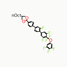 CCCCCCCCC1COC(c2ccc(-c3ccc(-c4cc(F)c(C(F)(F)Oc5cc(F)c(F)c(F)c5)c(F)c4)c(F)c3)cc2)OC1